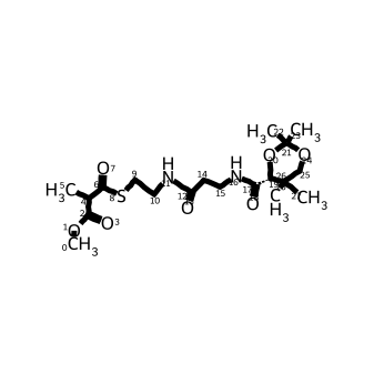 COC(=O)C(C)C(=O)SCCNC(=O)CCNC(=O)[C@@H]1OC(C)(C)OCC1(C)C